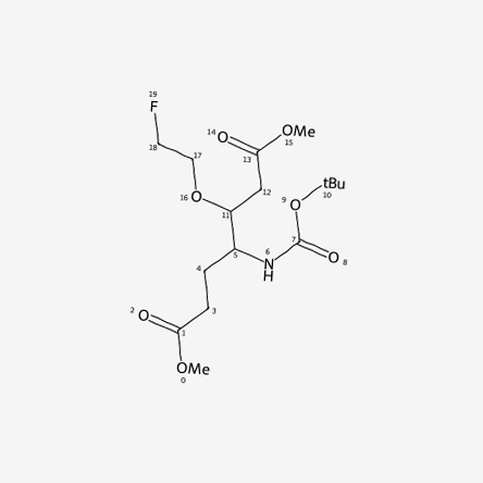 COC(=O)CCC(NC(=O)OC(C)(C)C)C(CC(=O)OC)OCCF